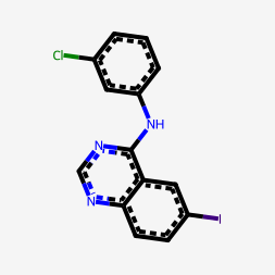 Clc1cccc(Nc2ncnc3ccc(I)cc23)c1